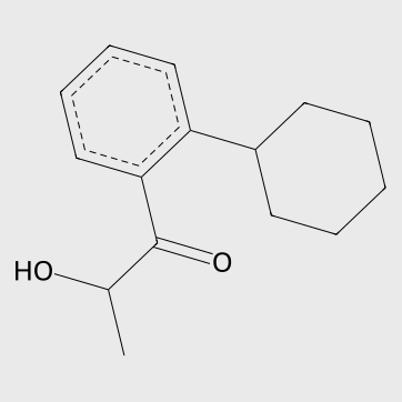 CC(O)C(=O)c1ccccc1C1CCCCC1